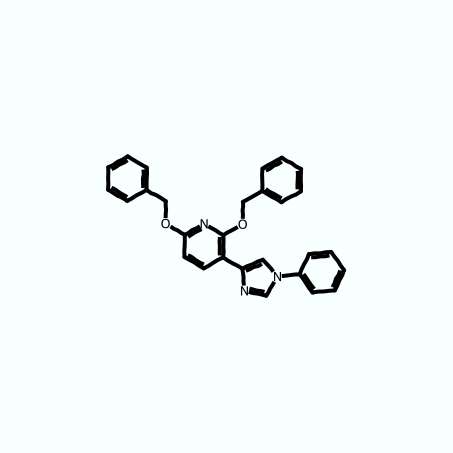 c1ccc(COc2ccc(-c3cn(-c4ccccc4)cn3)c(OCc3ccccc3)n2)cc1